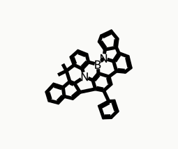 CC1(C)c2cccc3c2-n2c4c1c1ccccc1cc4c1c(-c4ccccc4)cc4c(c12)B3n1c2ccccc2c2cccc-4c21